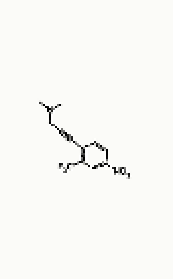 CN(C)CC#Cc1ccc([N+](=O)[O-])cc1C(F)(F)F